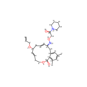 C=CCOC1/C=C/CCOC(=O)c2c(C)cc(C)cc2CC(=N/OCC(=O)N2CCCCC2)/C=C/C1